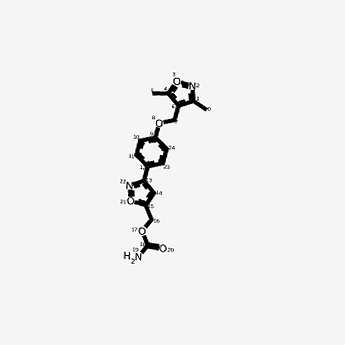 Cc1noc(C)c1COc1ccc(-c2cc(COC(N)=O)on2)cc1